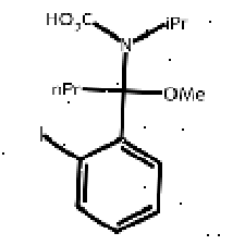 CCCC(OC)(c1ccccc1I)N(C(=O)O)C(C)C